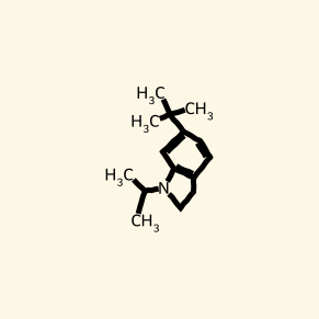 CC(C)N1CCc2ccc(C(C)(C)C)cc21